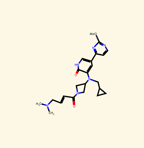 COc1nccc(-c2c[nH]c(=O)c(N(CC3CC3)C3CN(C(=O)C=CCN(C)C)C3)c2)n1